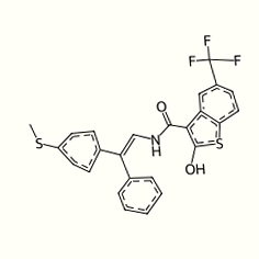 CSc1ccc(/C(=C/NC(=O)c2c(O)sc3ccc(C(F)(F)F)cc23)c2ccccc2)cc1